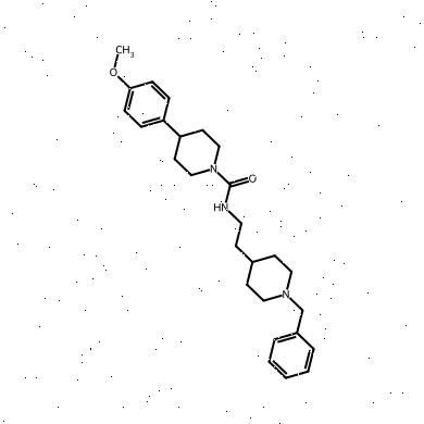 COc1ccc(C2CCN(C(=O)NCCC3CCN(Cc4ccccc4)CC3)CC2)cc1